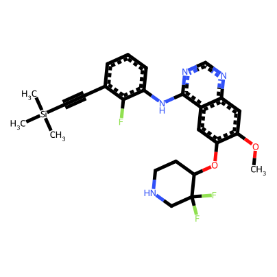 COc1cc2ncnc(Nc3cccc(C#C[Si](C)(C)C)c3F)c2cc1OC1CCNCC1(F)F